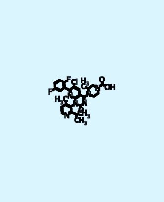 Cc1ccnc(C(C)C)c1-n1c(=O)nc(N2CCN(C(=O)O)CC2C)c2cc(Cl)c(-c3cc(F)ccc3F)nc21